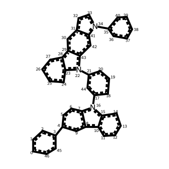 c1ccc(-c2ccc3c(c2)c2ccccc2n3-c2cccc(-n3c4ccccc4c4cc5ccn(-c6ccccc6)c5cc43)c2)cc1